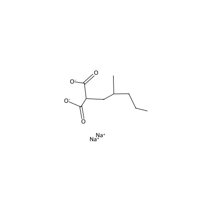 CCCC(C)CC(C(=O)[O-])C(=O)[O-].[Na+].[Na+]